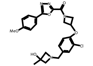 COc1ccc(-c2nnc(C(=O)N3CC(Oc4ccc(CN5CC(C)(O)C5)cc4Cl)C3)o2)cc1